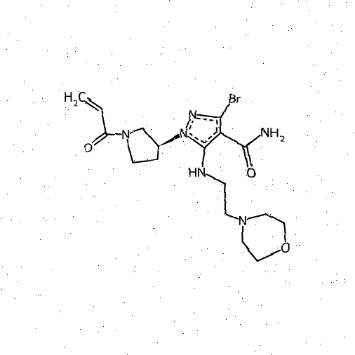 C=CC(=O)N1CC[C@H](n2nc(Br)c(C(N)=O)c2NCCN2CCOCC2)C1